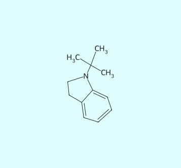 CC(C)(C)N1CCc2ccccc21